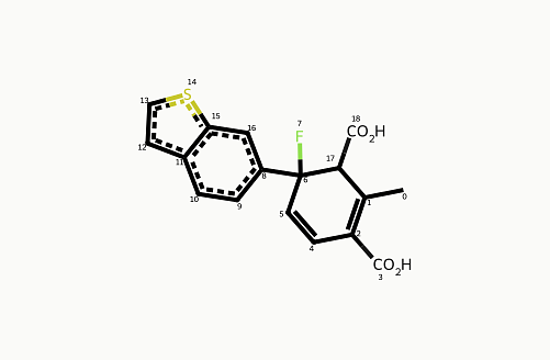 CC1=C(C(=O)O)C=CC(F)(c2ccc3ccsc3c2)C1C(=O)O